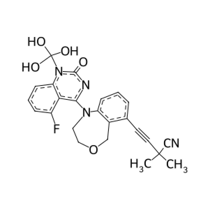 CC(C)(C#N)C#Cc1cccc2c1COCCN2c1nc(=O)n(C(O)(O)O)c2cccc(F)c12